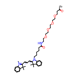 CC(C)C(=O)CCOCCOCCOCCOCCNC(=O)CCCCCN1/C(=C/C=C/C2=[N+](C)c3ccccc3C2(C)C)C(C)(C)c2ccccc21